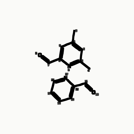 Cc1cc(C)nc(C=O)c1.O=Cc1ccccn1